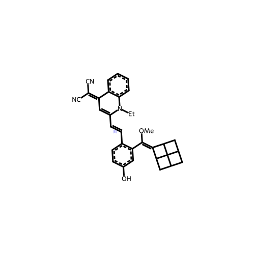 CCN1C(/C=C/c2ccc(O)cc2C(OC)=C2C3CC4CC5CC2C453)=CC(=C(C#N)C#N)c2ccccc21